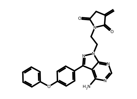 C=C1CC(=O)N(CCn2nc(-c3ccc(Oc4ccccc4)cc3)c3c(N)ncnc32)C1=O